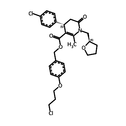 CC1=C(C(=O)OCc2ccc(OCCCCl)cc2)[C@H](c2ccc(Cl)cc2)CC(=O)N1C[C@H]1CCCO1